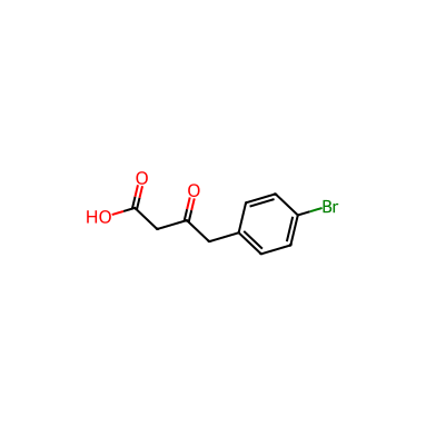 O=C(O)CC(=O)Cc1ccc(Br)cc1